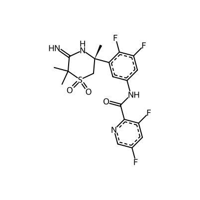 CC1(C)C(=N)N[C@](C)(c2cc(NC(=O)c3ncc(F)cc3F)cc(F)c2F)CS1(=O)=O